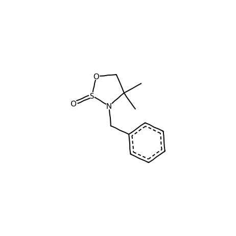 CC1(C)COS(=O)N1Cc1ccccc1